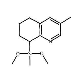 CO[Si](C)(OC)C1CCCc2cc(C)cnc21